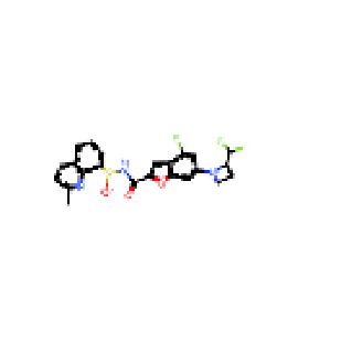 Cc1ccc2cccc([S+]([O-])NC(=O)c3cc4c(F)cc(N5CCC5C(F)F)cc4o3)c2n1